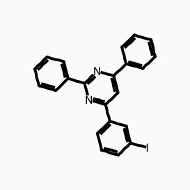 Ic1cccc(-c2cc(-c3ccccc3)nc(-c3ccccc3)n2)c1